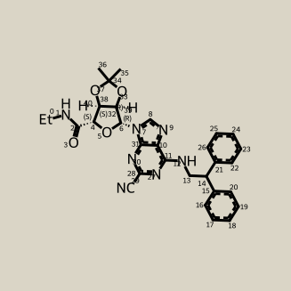 CCNC(=O)[C@H]1O[C@@H](n2cnc3c(NCC(c4ccccc4)c4ccccc4)nc(C#N)nc32)[C@@H]2OC(C)(C)O[C@@H]21